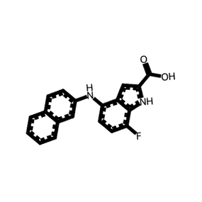 O=C(O)c1cc2c(Nc3ccc4ccccc4c3)ccc(F)c2[nH]1